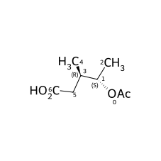 CC(=O)O[C@@H](C)[C@H](C)CC(=O)O